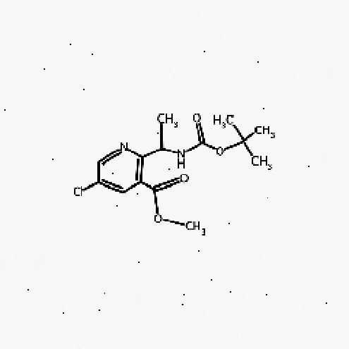 COC(=O)c1cc(Cl)cnc1C(C)NC(=O)OC(C)(C)C